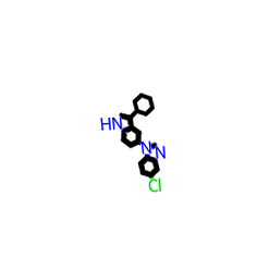 Clc1ccc2c(c1)ncn2-c1ccc2[nH]cc(C3CCCCC3)c2c1